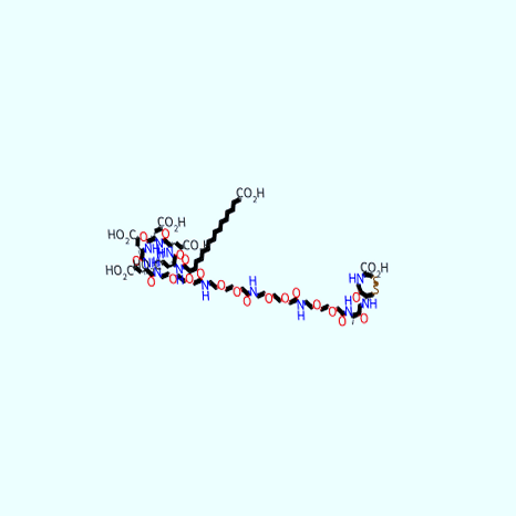 C[C@H](NC(=O)COCCOCCNC(=O)COCCOCCNC(=O)COCCOCCNC(=O)COCCOCCNC(=O)[C@H](CCC(=O)O)NC(=O)[C@H](CCC(=O)O)NC(=O)[C@H](CCC(=O)O)NC(=O)[C@H](CCC(=O)O)NC(=O)[C@H](CCC(=O)O)NC(=O)CCCCCCCCCCCCCCCCC(=O)O)C(=O)CN[C@H]1CSSC[C@@H](C(=O)O)NCC1=O